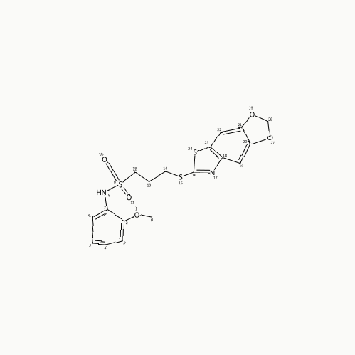 COc1ccccc1NS(=O)(=O)CCCSc1nc2cc3c(cc2s1)OCO3